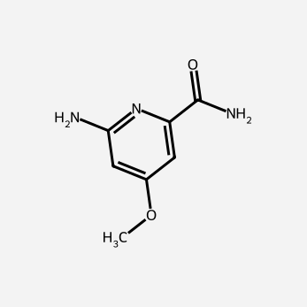 COc1cc(N)nc(C(N)=O)c1